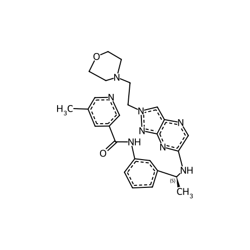 Cc1cncc(C(=O)Nc2cccc([C@H](C)Nc3cnc4cn(CCN5CCOCC5)nc4n3)c2)c1